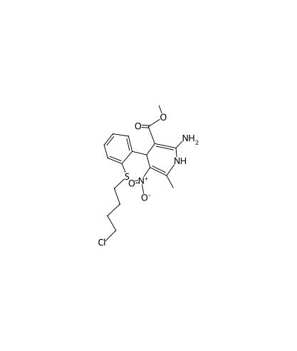 COC(=O)C1=C(N)NC(C)=C([N+](=O)[O-])C1c1ccccc1SCCCCCl